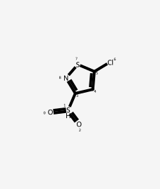 O=[SH](=O)c1cc(Cl)sn1